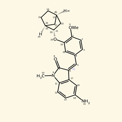 COc1ccc(/C=C2\C(=O)N(C)c3ccc(N)cc32)cc1O[C@H]1C[C@@H]2CC[C@H]1C2